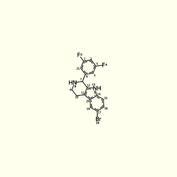 Fc1cc(F)cc(C2NCCc3c2[nH]c2ccc(Br)cc32)c1